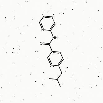 CC(C)Cc1ccc(C(=O)Nc2ccccn2)cc1